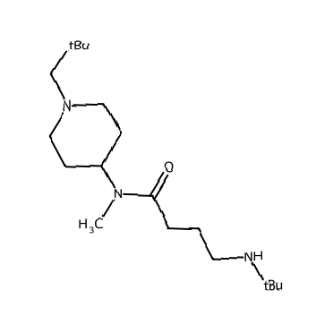 CN(C(=O)CCCNC(C)(C)C)C1CCN(CC(C)(C)C)CC1